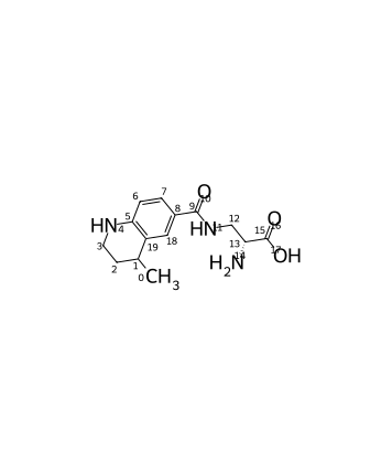 CC1CCNc2ccc(C(=O)NC[C@@H](N)C(=O)O)cc21